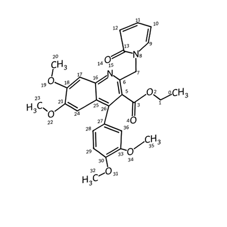 CCOC(=O)c1c(Cn2ccccc2=O)nc2cc(OC)c(OC)cc2c1-c1ccc(OC)c(OC)c1